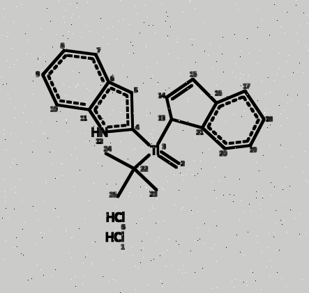 Cl.Cl.[CH2]=[Ti]([c]1cc2ccccc2[nH]1)([CH]1C=Cc2ccccc21)[C](C)(C)C